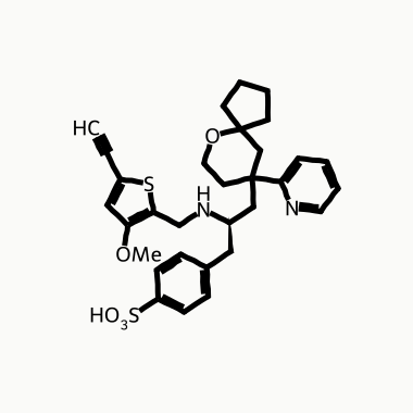 C#Cc1cc(OC)c(CN[C@H](Cc2ccc(S(=O)(=O)O)cc2)CC2(c3ccccn3)CCOC3(CCCC3)C2)s1